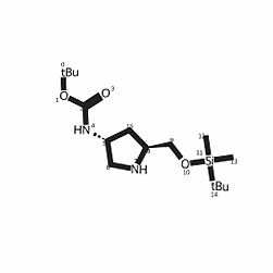 CC(C)(C)OC(=O)N[C@H]1CN[C@H](CO[Si](C)(C)C(C)(C)C)C1